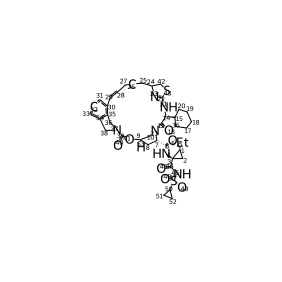 CC[C@@H]1C[C@]1(NC(=O)[C@@H]1C[C@@H]2CN1C(=O)[C@H](C1CCCCC1)NC1=NC(CCC/C=C/c3cccc4c3CN(C4)C(=O)O2)CS1)C(=O)NS(=O)(=O)C1CC1